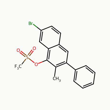 Cc1c(-c2ccccc2)cc2ccc(Br)cc2c1OS(=O)(=O)C(F)(F)F